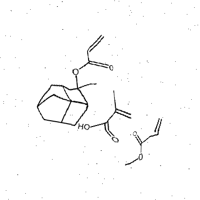 C=C(C)C(=O)O.C=CC(=O)OC.C=CC(=O)OC1(C)C2CC3CC(C2)CC1C3